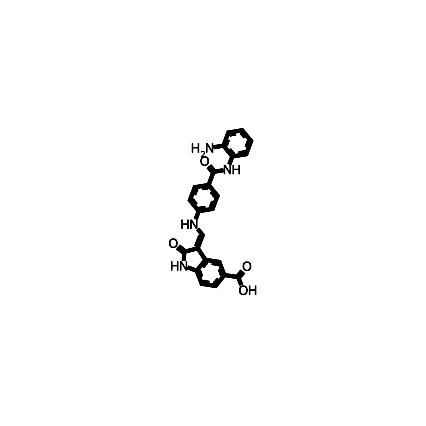 Nc1ccccc1NC(=O)c1ccc(NC=C2C(=O)Nc3ccc(C(=O)O)cc32)cc1